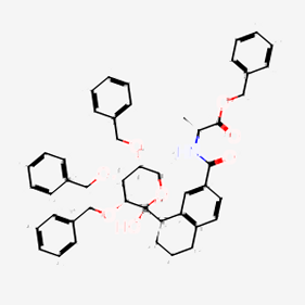 C[C@H](NC(=O)c1ccc2c(c1)[C@H]([C@@]1(O)O[C@@H](C)[C@@H](OCc3ccccc3)[C@@H](OCc3ccccc3)[C@@H]1OCc1ccccc1)CCC2)C(=O)OCc1ccccc1